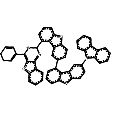 C1=CC(C2=c3oc4ccccc4c3=NC(c3cccc4oc5ccc(-c6cccc7sc8ccc(-n9c%10ccccc%10c%10ccccc%109)cc8c67)cc5c34)N2)=CCC1